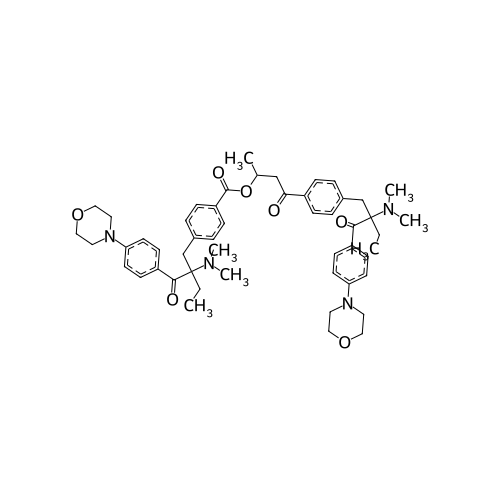 CCC(Cc1ccc(C(=O)CC(C)OC(=O)c2ccc(CC(CC)(C(=O)c3ccc(N4CCOCC4)cc3)N(C)C)cc2)cc1)(C(=O)c1ccc(N2CCOCC2)cc1)N(C)C